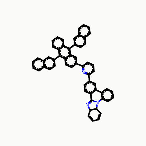 C1=CC2N=C3c4ccc(-c5cccc(-c6ccc7c(-c8ccc9ccccc9c8)c8ccccc8c(-c8ccc9ccccc9c8)c7c6)n5)cc4-c4ccccc4N3C2C=C1